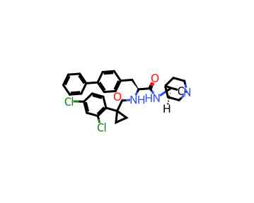 O=C(N[C@@H]1CN2CCC1CC2)[C@H](Cc1ccc(-c2ccccc2)cc1)NC(=O)C1(c2ccc(Cl)cc2Cl)CC1